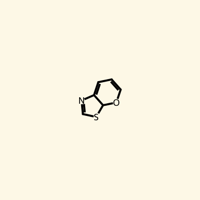 C1=COC2SC=NC2=C1